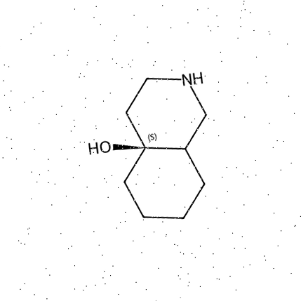 O[C@]12CCCCC1CNCC2